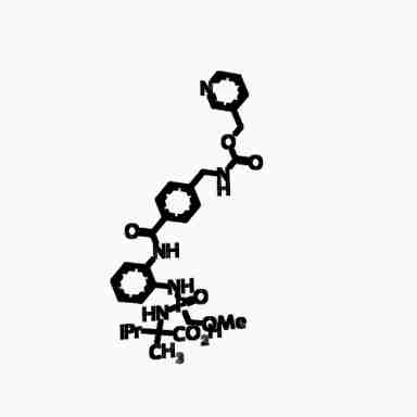 COCP(=O)(Nc1ccccc1NC(=O)c1ccc(CNC(=O)OCc2cccnc2)cc1)NC(C)(C(=O)O)C(C)C